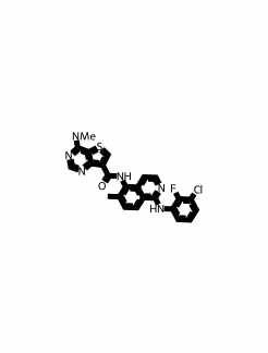 CNc1ncnc2c(C(=O)Nc3c(C)ccc4c(Nc5cccc(Cl)c5F)nccc34)csc12